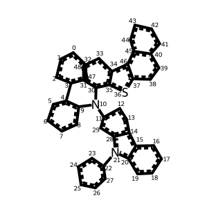 c1ccc(-c2ccccc2N(c2ccc3c4ccccc4n(-c4ccccc4)c3c2)c2cccc3c2sc2ccc4ccccc4c23)cc1